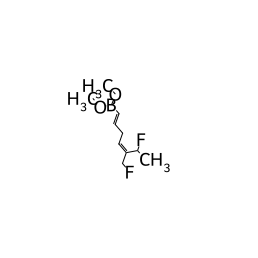 COB(/C=C/C/C=C(/CF)C(C)F)OC